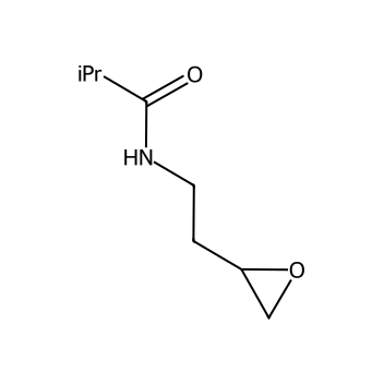 CC(C)C(=O)NCCC1CO1